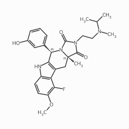 COc1ccc2[nH]c3c(c2c1F)C[C@@]1(C)C(=O)N(CCN(C)C(C)C)C(=O)N1[C@@H]3c1cccc(O)c1